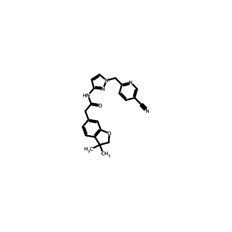 CC1(C)COc2cc(CC(=O)Nc3ccn(Cc4ccc(C#N)cn4)n3)ccc21